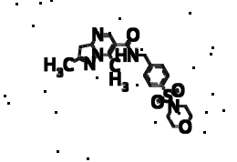 CC1=NN2C(C)=C(C(=O)NCc3ccc(S(=O)(=O)N4CCOCC4)cc3)C=NC2C1